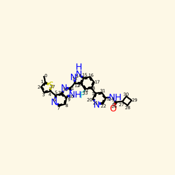 Cc1ccc(-c2nccc3[nH]c(-c4n[nH]c5ccc(-c6cncc(NC(=O)C7CCC7)c6)c(F)c45)nc23)s1